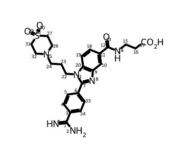 N=C(N)c1ccc(-c2nc3cc(C(=O)NCCC(=O)O)ccc3n2CCCN2CCS(=O)(=O)CC2)cc1